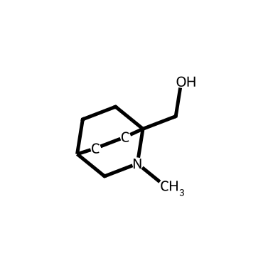 CN1CC2CCC1(CO)CC2